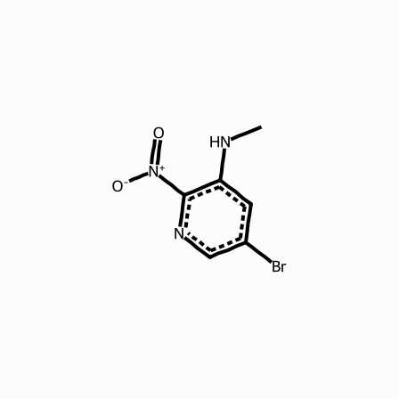 CNc1cc(Br)cnc1[N+](=O)[O-]